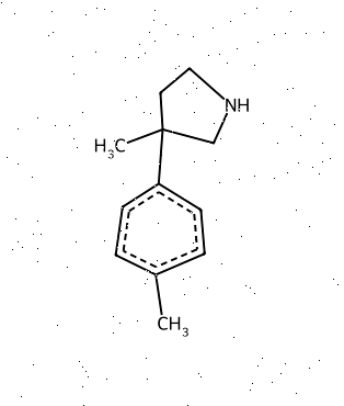 Cc1ccc(C2(C)CCNC2)cc1